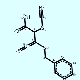 N#CSC(C(=O)O)C(=C=S)SCc1ccccc1